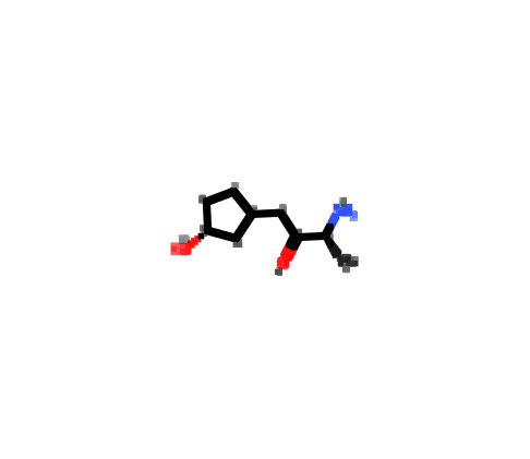 CC(C)(C)[C@H](N)C(=O)CC1CC[C@@H](O)C1